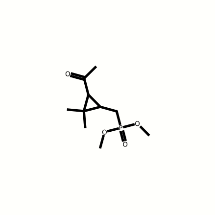 COP(=O)(CC1C(C(C)=O)C1(C)C)OC